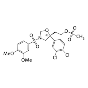 COc1ccc(S(=O)(=O)N2CO[C@](CCOS(C)(=O)=O)(c3ccc(Cl)c(Cl)c3)C2)cc1OC